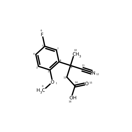 COc1ccc(F)cc1C(C)(C#N)CC(=O)O